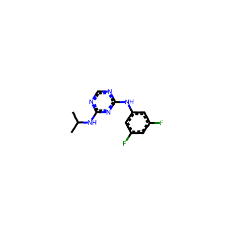 CC(C)Nc1ncnc(Nc2cc(F)cc(F)c2)n1